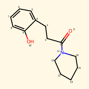 O=C(CCc1ccccc1O)N1CCCCC1